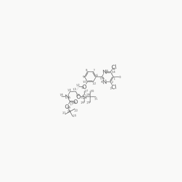 Cc1c(Cl)nc(-c2cccc(OC[C@@H](CN(C)C(=O)OC(C)(C)C)O[Si](C)(C)C(C)(C)C)c2)nc1Cl